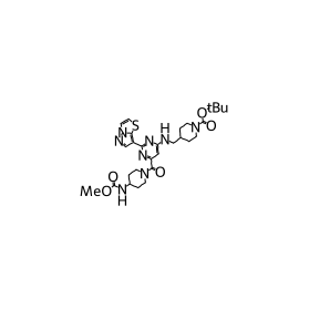 COC(=O)NC1CCN(C(=O)c2cc(NCC3CCN(C(=O)OC(C)(C)C)CC3)nc(-c3cnn4ccsc34)n2)CC1